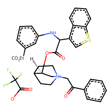 CCOC(=O)c1cccc(NC(C(=O)O[C@H]2C[N+]3(CC(=O)c4ccccc4)CCC2CC3)c2csc3ccccc23)c1.O=C([O-])C(F)(F)F